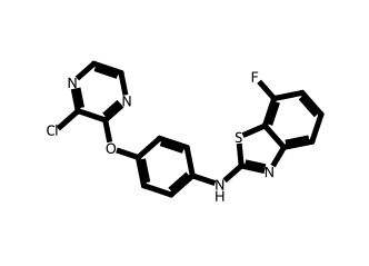 Fc1cccc2nc(Nc3ccc(Oc4nccnc4Cl)cc3)sc12